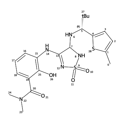 Cc1ccc([C@H](NC2NS(=O)(=O)N=C2Nc2cccc(C(=O)N(C)C)c2O)C(C)(C)C)s1